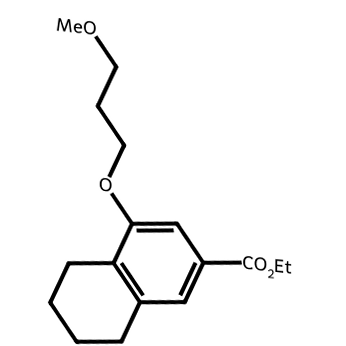 CCOC(=O)c1cc2c(c(OCCCOC)c1)CCCC2